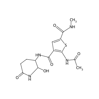 CNC(=O)c1cc(C(=O)NC2CCC(=O)NC2O)c(NC(C)=O)s1